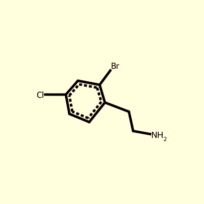 NCCc1ccc(Cl)cc1Br